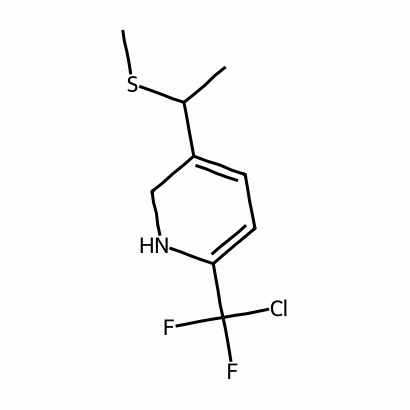 CSC(C)C1=CC=C(C(F)(F)Cl)NC1